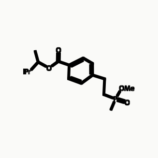 COP(C)(=O)CCc1ccc(C(=O)OC(C)C(C)C)cc1